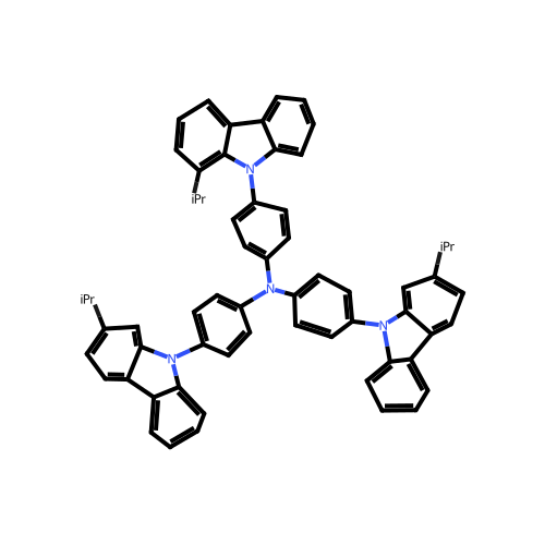 CC(C)c1ccc2c3ccccc3n(-c3ccc(N(c4ccc(-n5c6ccccc6c6ccc(C(C)C)cc65)cc4)c4ccc(-n5c6ccccc6c6cccc(C(C)C)c65)cc4)cc3)c2c1